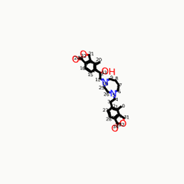 Cc1c(CCN2CCCCN(CC(O)c3ccc4c(c3C)COC4=O)CC2)ccc2c1COC2=O